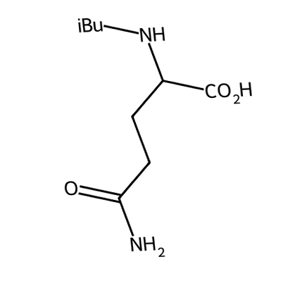 CCC(C)NC(CCC(N)=O)C(=O)O